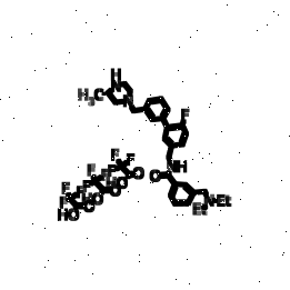 CCN(CC)Cc1cccc(C(=O)NCc2ccc(F)c(-c3cccc(CN4CCN[C@@H](C)C4)c3)c2)c1.O=C(O)C(F)(F)F.O=C(O)C(F)(F)F.O=C(O)C(F)(F)F